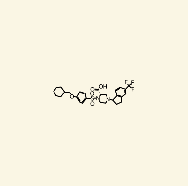 O=C(O)[C@@H]1CN(C2CCc3cc(C(F)(F)F)ccc32)CCN1S(=O)(=O)c1ccc(OCC2CCCCC2)cc1